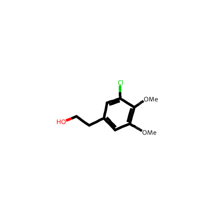 COc1cc(CCO)cc(Cl)c1OC